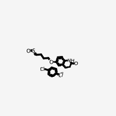 Clc1ccc(Cl)cc1.O=S=CCCCOc1ccc2c(c1)CCC(=O)N2